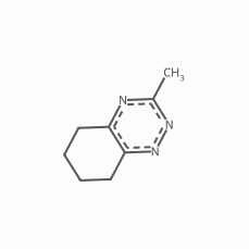 Cc1nnc2c(n1)CCCC2